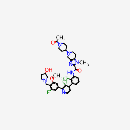 COc1cc(-c2nccc(-c3cccc(NC(=O)c4nc5c(n4C)CCN(C4CCN(C(C)=O)CC4)C5)c3Cl)c2Cl)cc(F)c1CN1CCC(O)C1